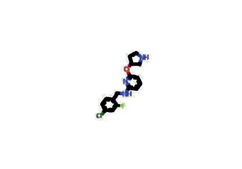 Fc1cc(Cl)ccc1CNc1cccc(OC2CCNC2)n1